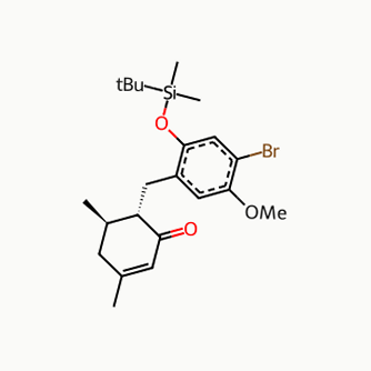 COc1cc(C[C@@H]2C(=O)C=C(C)C[C@H]2C)c(O[Si](C)(C)C(C)(C)C)cc1Br